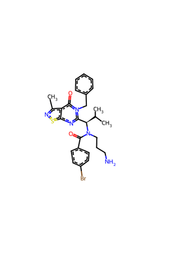 Cc1nsc2nc([C@@H](C(C)C)N(CCCN)C(=O)c3ccc(Br)cc3)n(Cc3ccccc3)c(=O)c12